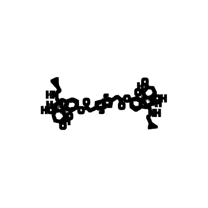 O=C(Cc1cc2sc(CC(=O)Oc3ccc4c5c3O[C@H]3C(=O)CC[C@@]6(O)[C@@H](C4)C(NCC4CC4)CC[C@]536)cc2s1)Oc1ccc2c3c1O[C@H]1C(=O)CC[C@@]4(O)[C@@H](C2)C(NCC2CC2)C=C[C@]314